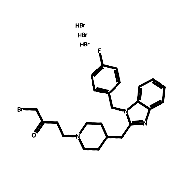 Br.Br.Br.O=C(CBr)CCN1CCC(Cc2nc3ccccc3n2Cc2ccc(F)cc2)CC1